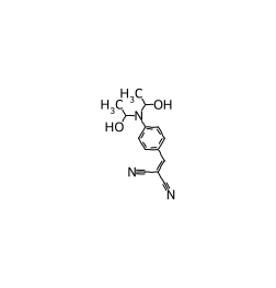 CC(O)N(c1ccc(C=C(C#N)C#N)cc1)C(C)O